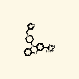 c1ccc2c(c1)Oc1cc(-c3nnn[nH]3)ccc1N2C1CCN(Cc2ccoc2)CC1